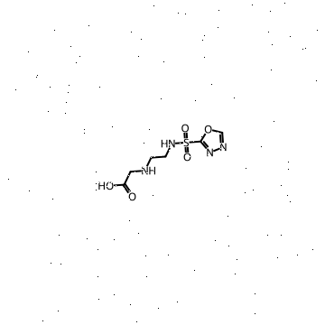 O=C(O)CNCCNS(=O)(=O)c1nnco1